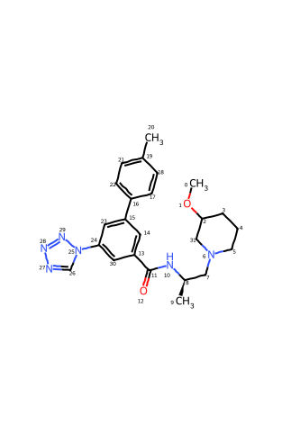 COC1CCCN(C[C@@H](C)NC(=O)c2cc(-c3ccc(C)cc3)cc(-n3cnnn3)c2)C1